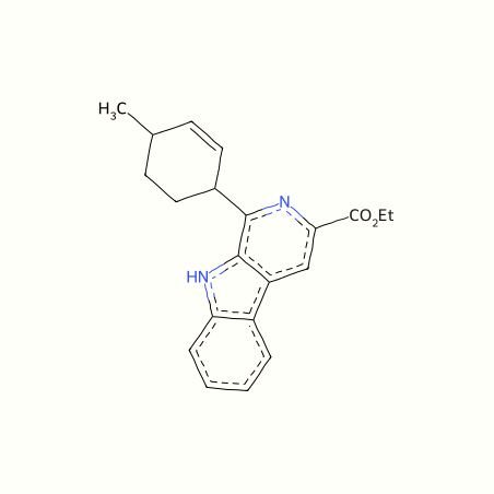 CCOC(=O)c1cc2c([nH]c3ccccc32)c(C2C=CC(C)CC2)n1